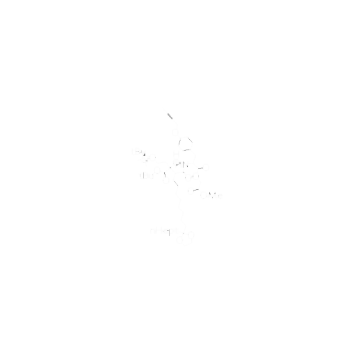 CC#CCOc1ccc(C[C@H](NC(=O)[C@@H](/C=C/CCCCCCC2(CCCCCCC)OCCO2)C(O)(CCO[Si](C)(C)C(C)(C)C)C(=O)OC(C)(C)C)C(=O)OCC(=O)OC)cc1